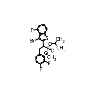 COP(=O)(OC(C)C)C(Cc1ccc(F)c(F)c1)c1sc2cccc(F)c2c1Br